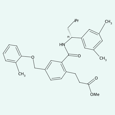 COC(=O)CCc1ccc(COc2ccccc2C)cc1C(=O)N[C@H](CC(C)C)c1cc(C)cc(C)c1